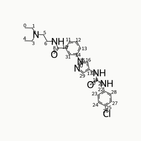 CCN(CC)CCNC(=O)c1cccc(-n2cc(NC(=O)Nc3ccc(Cl)cc3)cn2)c1